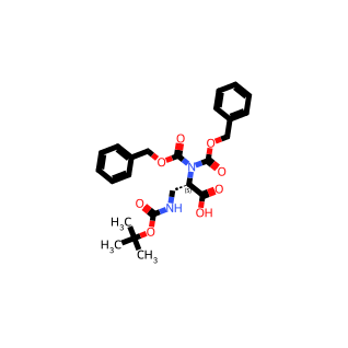 CC(C)(C)OC(=O)NC[C@@H](C(=O)O)N(C(=O)OCc1ccccc1)C(=O)OCc1ccccc1